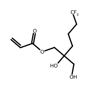 C=CC(=O)OCC(O)(CO)CCCC(F)(F)F